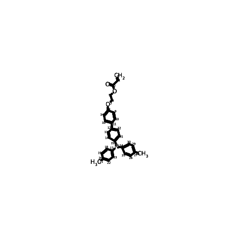 C=CC(=O)OCCOc1ccc(-c2ccc(N(c3ccc(C)cc3)c3ccc(C)cc3)cc2)cc1